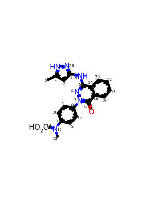 Cc1cc(Nc2nn(-c3ccc(N(C)C(=O)O)cc3)c(=O)c3ccccc23)n[nH]1